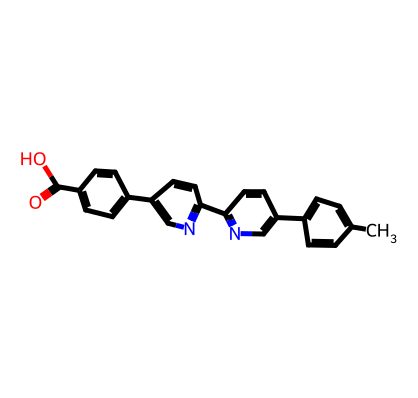 Cc1ccc(-c2ccc(-c3ccc(-c4ccc(C(=O)O)cc4)cn3)nc2)cc1